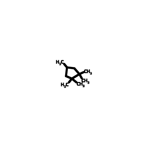 CC1CC(C)(C)C(C)(C)C1